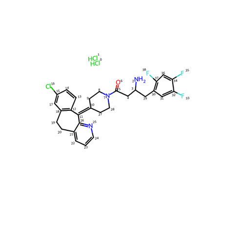 Cl.Cl.NC(CC(=O)N1CCC(=C2c3ccc(Cl)cc3CCc3cccnc32)CC1)Cc1cc(F)c(F)cc1F